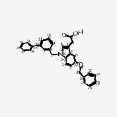 O=C(O)Cc1cn(Cc2cccc(-c3ccccc3)c2)c2ccc(OCc3ccccc3)cc12